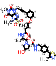 Cc1ncsc1-c1ccc(CNC(=O)[C@@H]2C[C@@H](O)CN2C(=O)C(NC(=O)CCCOc2cccc(C#CCn3c(=O)n(C)c(=O)c4c3nc(S(C)(=O)=O)n4C)c2)C(C)(C)C)cc1